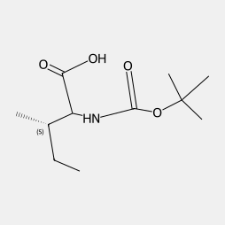 CC[C@H](C)C(NC(=O)OC(C)(C)C)C(=O)O